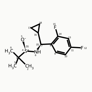 CC(C)(C)[S@@+]([O-])N[C@H](c1ccc(F)cc1F)C1CC1